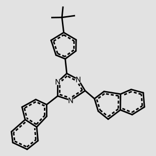 CC(C)(C)c1ccc(-c2nc(-c3ccc4ccccc4c3)nc(-c3ccc4ccccc4c3)n2)cc1